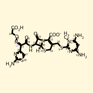 C[n+]1c(N)cc(N)nc1SCC1=C(C(=O)[O-])N2C(=O)C(NC(=O)/C(=N\OCC(=O)O)c3csc(N)n3)[C@H]2SC1